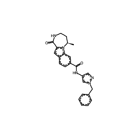 C[C@@H]1CCNC(=O)c2cc3ccc(C(=O)Nc4cnn(Cc5ccccc5)c4)cc3n21